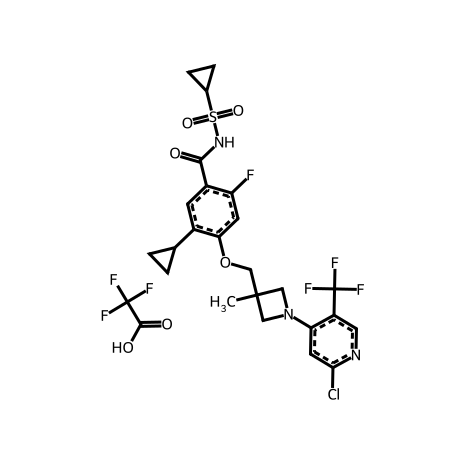 CC1(COc2cc(F)c(C(=O)NS(=O)(=O)C3CC3)cc2C2CC2)CN(c2cc(Cl)ncc2C(F)(F)F)C1.O=C(O)C(F)(F)F